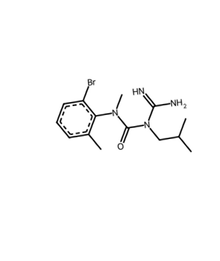 Cc1cccc(Br)c1N(C)C(=O)N(CC(C)C)C(=N)N